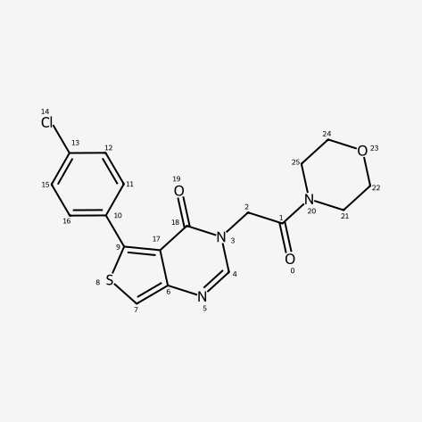 O=C(Cn1cnc2csc(-c3ccc(Cl)cc3)c2c1=O)N1CCOCC1